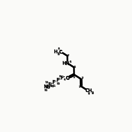 CC=CC(=O)CNCC.[F-].[F-].[F-].[F-].[Nb+4]